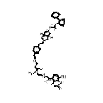 CN(CCNC[C@H](O)c1ccc(O)c2c1OCC(=O)N2)C(=O)CCOCCc1ccc(CCN2C[C@H]3C[C@@H](OC(=O)Nc4ccccc4-c4ccccc4)C[C@H]3C2)cc1